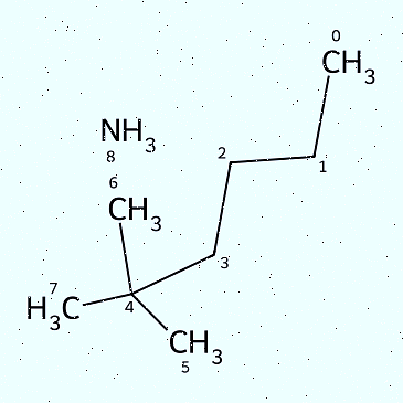 CCCCC(C)(C)C.N